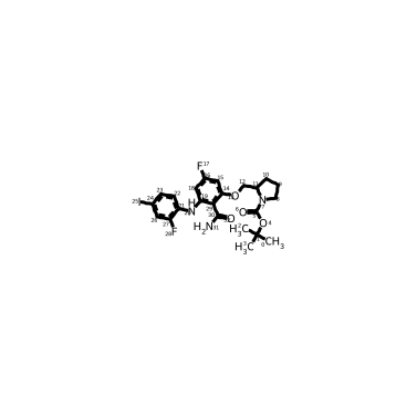 CC(C)(C)OC(=O)N1CCCC1COc1cc(F)cc(Nc2ccc(I)cc2F)c1C(N)=O